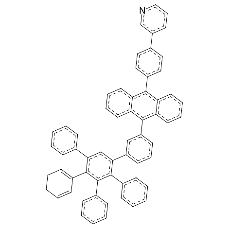 C1=CC(c2c(-c3ccccc3)cc(-c3cccc(-c4c5ccccc5c(-c5ccc(-c6cccnc6)cc5)c5ccccc45)c3)c(-c3ccccc3)c2-c2ccccc2)=CCC1